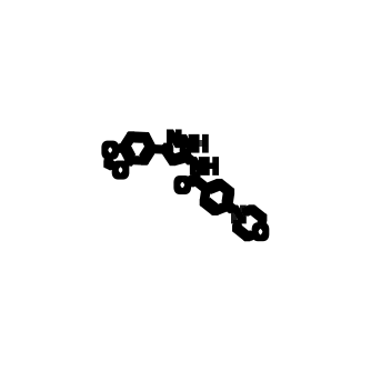 O=C(Nc1cc(-c2ccc3c(c2)OCO3)n[nH]1)c1ccc(N2CCOCC2)cc1